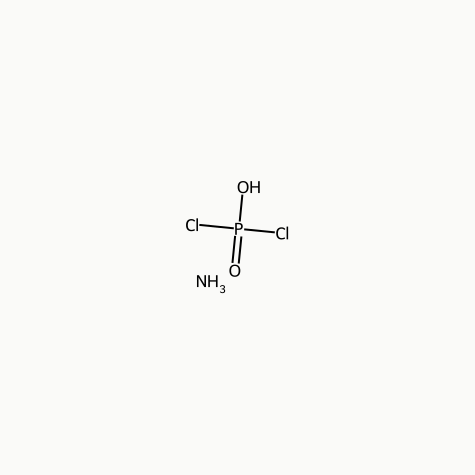 N.O=P(O)(Cl)Cl